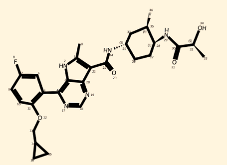 Cc1[nH]c2c(-c3cc(F)ccc3OCC3CC3)ncnc2c1C(=O)N[C@H]1CC[C@H](NC(=O)[C@H](C)O)[C@H](F)C1